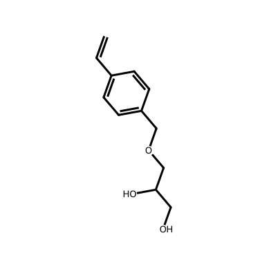 C=Cc1ccc(COCC(O)CO)cc1